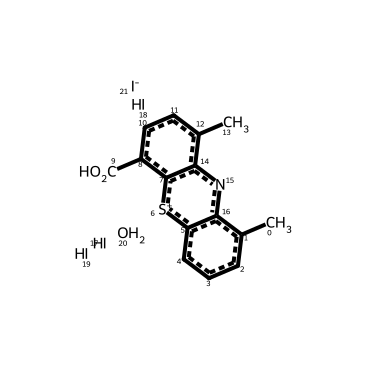 Cc1cccc2[s+]c3c(C(=O)O)ccc(C)c3nc12.I.I.I.O.[I-]